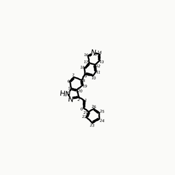 C(=Cc1n[nH]c2ccc(-c3ccc4ccncc4c3)cc12)c1ccccc1